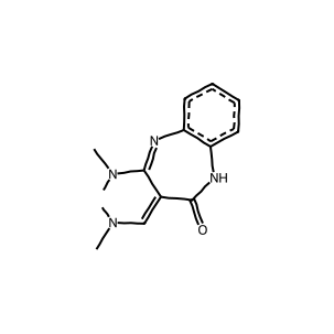 CN(C)/C=C1/C(=O)Nc2ccccc2N=C1N(C)C